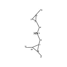 CC1CC1CNCC1C(C)C1C